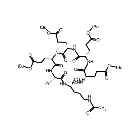 CC(=O)N[C@@H](CCC(=O)OC(C)(C)C)C(=O)N[C@@H](CCC(=O)OC(C)(C)C)C(=O)N[C@@H](CCC(=O)OC(C)(C)C)C(=O)N[C@@H](CCC(=O)OC(C)(C)C)C(=O)N[C@H](C(=O)N[C@@H](CCCNC(N)=O)C(=O)O)C(C)C